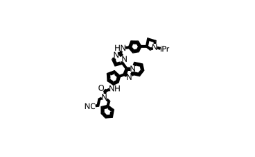 CC(C)N1CCC(c2ccc(Nc3nccc(-c4c(-c5cccc(NC(=O)N(CCC#N)Cc6ccccc6)c5)nc5ccccn45)n3)cc2)C1